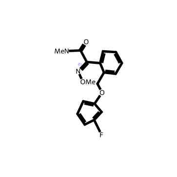 CNC(=O)/C(=N/OC)c1ccccc1COc1cccc(F)c1